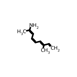 C=C/C(C)=C/C=C\C=C(/C)N